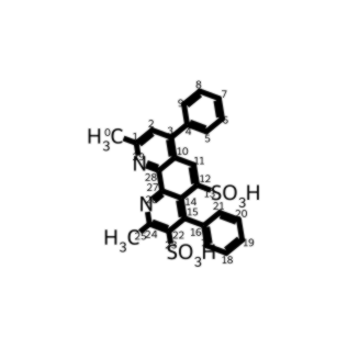 Cc1cc(-c2ccccc2)c2cc(S(=O)(=O)O)c3c(-c4ccccc4)c(S(=O)(=O)O)c(C)nc3c2n1